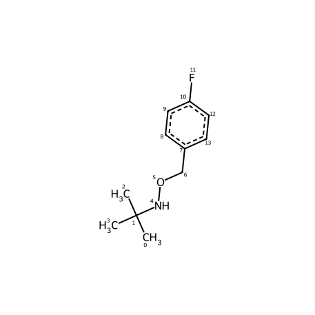 CC(C)(C)NOCc1ccc(F)cc1